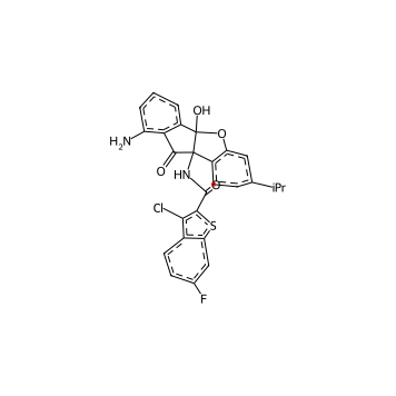 CC(C)c1ccc2c(c1)OC1(O)c3cccc(N)c3C(=O)C21NC(=O)c1sc2cc(F)ccc2c1Cl